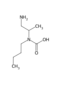 CCCCN(C(=O)O)C(C)CN